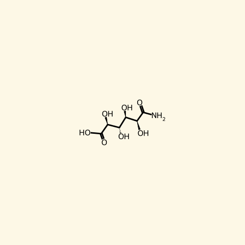 NC(=O)[C@@H](O)[C@H](O)[C@H](O)[C@H](O)C(=O)O